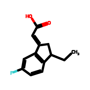 CCC1CC(=CC(=O)O)c2cc(F)ccc21